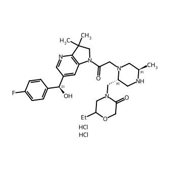 CCC1CN(C[C@H]2CN[C@H](C)CN2CC(=O)N2CC(C)(C)c3ncc([C@@H](O)c4ccc(F)cc4)cc32)C(=O)CO1.Cl.Cl